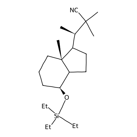 CC[Si](CC)(CC)O[C@H]1CCC[C@@]2(C)C1CCC2[C@@H](C)C(C)(C)C#N